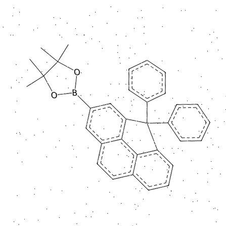 CC1(C)OB(c2cc3c4c(ccc5cccc(c54)C3(c3ccccc3)c3ccccc3)c2)OC1(C)C